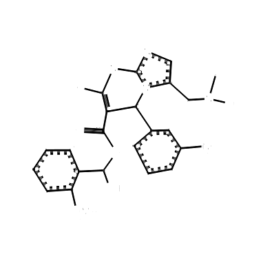 CCN(CC)Cc1cnc2n1C(c1cccc([N+](=O)[O-])c1)C(C(=O)OC(C)c1ccccc1OC)=C(C)N2